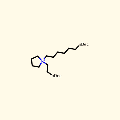 CCCCCCCCCCCCCCCC[N+]1(CCCCCCCCCCCC)CCCC1